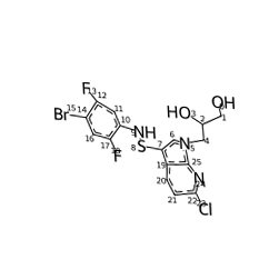 OCC(O)Cn1cc(SNc2cc(F)c(Br)cc2F)c2ccc(Cl)nc21